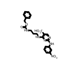 O=C(NCCCNc1nc(Nc2cccc([N+](=O)[O-])c2)ncc1C(=O)O)OCc1ccccc1